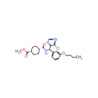 CCCCOc1cccc(C(NC(=O)[C@H]2CC[C@H](C(=O)OC)CC2)c2nccnc2Cl)c1